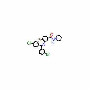 O=C(NN1CCCCC1)c1ccc2c(c1)N=C(c1cccc(Br)c1)c1ccc(Cl)cc1S2